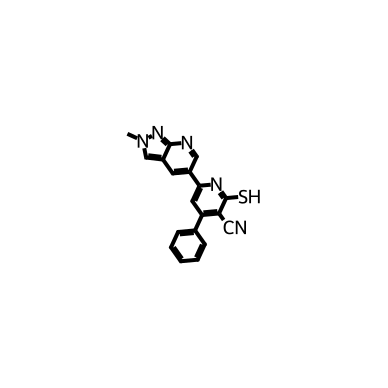 Cn1cc2cc(-c3cc(-c4ccccc4)c(C#N)c(S)n3)cnc2n1